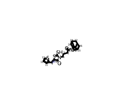 O=C(CCCN1C(=O)/C(=C/c2cccs2)SC1S)NC12CC3CC(CC(C3)C1)C2